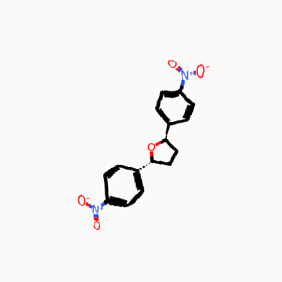 O=[N+]([O-])c1ccc([C@H]2CC[C@H](c3ccc([N+](=O)[O-])cc3)O2)cc1